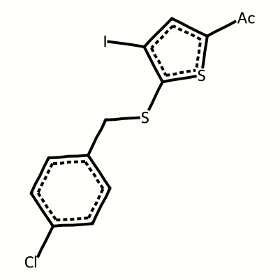 CC(=O)c1cc(I)c(SCc2ccc(Cl)cc2)s1